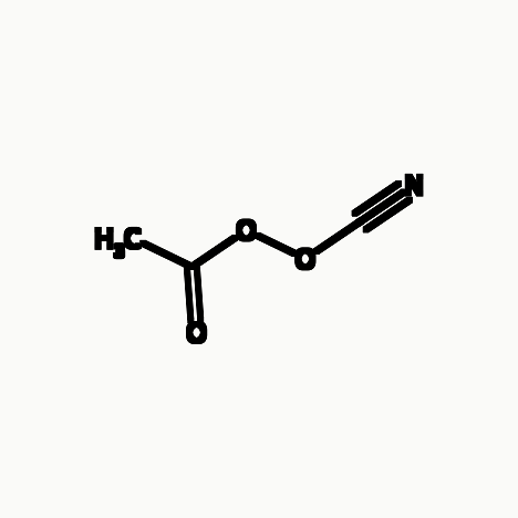 CC(=O)OOC#N